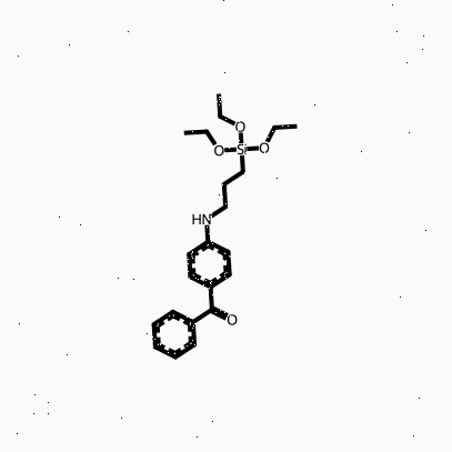 CCO[Si](CCCNc1ccc(C(=O)c2ccccc2)cc1)(OCC)OCC